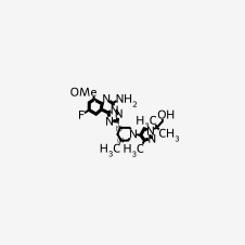 COc1cc(F)cc2c1nc(N)n1nc([C@H]3C[C@@H](C)CN(c4cn(C(C)(C)CO)nc4C)C3)nc21